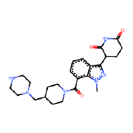 Cn1nc(C2CCC(=O)NC2=O)c2cccc(C(=O)N3CCC(CN4CCNCC4)CC3)c21